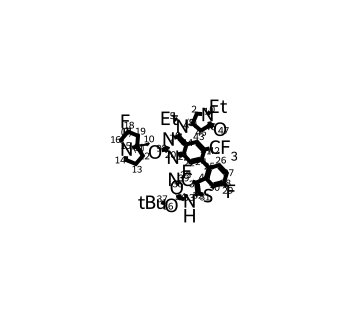 CCN1C[C@@H](N(CC)c2nc(OC[C@@]34CCCN3C[C@H](F)C4)nc3c(F)c(-c4ccc(F)c5sc(NC(=O)OC(C)(C)C)c(C#N)c45)c(C(F)(F)F)cc23)CC1=O